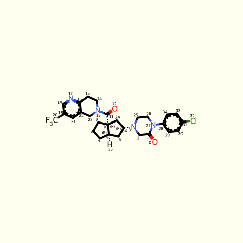 O=C1CN([C@@H]2C[C@H]3CCC[C@@]3(C(=O)N3CCc4ncc(C(F)(F)F)cc4C3)C2)CCN1c1ccc(Cl)cc1